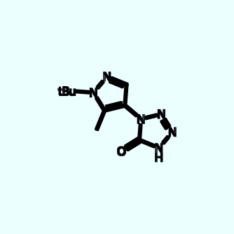 Cc1c(-n2nn[nH]c2=O)cnn1C(C)(C)C